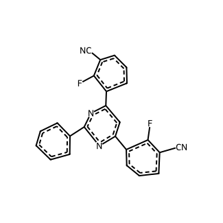 N#Cc1cccc(-c2cc(-c3cccc(C#N)c3F)nc(-c3ccccc3)n2)c1F